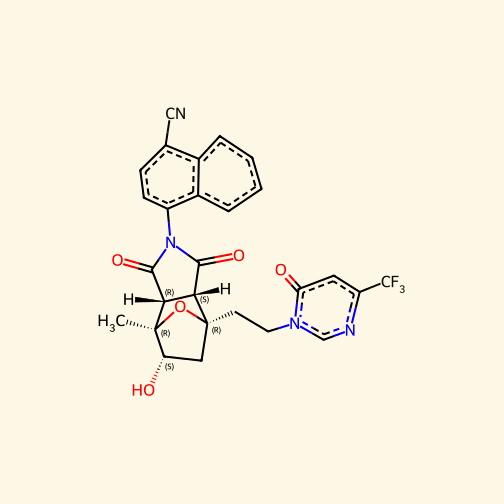 C[C@]12O[C@](CCn3cnc(C(F)(F)F)cc3=O)(C[C@@H]1O)[C@H]1C(=O)N(c3ccc(C#N)c4ccccc34)C(=O)[C@H]12